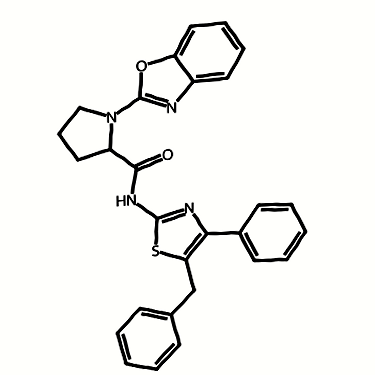 O=C(Nc1nc(-c2ccccc2)c(Cc2ccccc2)s1)C1CCCN1c1nc2ccccc2o1